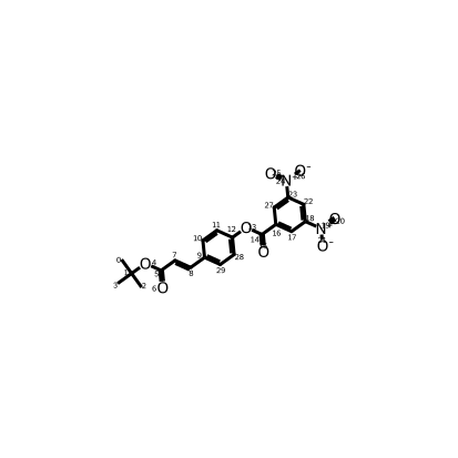 CC(C)(C)OC(=O)/C=C/c1ccc(OC(=O)c2cc([N+](=O)[O-])cc([N+](=O)[O-])c2)cc1